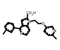 Cc1cccc(-c2nccc3c2cc(C(=O)O)n3CCOc2ccc(C)nc2)c1